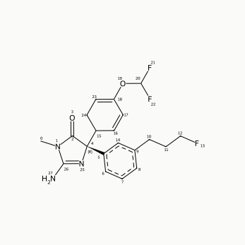 CN1C(=O)[C@](c2cccc(CCCF)c2)(C2C=CC(OC(F)F)=CC2)N=C1N